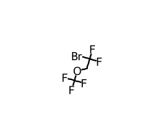 FC(F)(Br)COC(F)(F)F